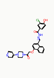 O=C(N/N=C/c1ccc(OCC(=O)N2CCN(c3ccncc3)CC2)c2ccccc12)c1ccc(O)c(Cl)c1